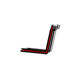 [O-2].[O-2].[O-2].[O-2].[O-2].[O-2].[O-2].[O-2].[O-2].[O-2].[O-2].[O-2].[O-2].[O-2].[O-2].[O-2].[O-2].[O-2].[O-2].[O-2].[O-2].[O-2].[O-2].[O-2].[O-2].[O-2].[O-2].[O-2].[O-2].[O-2].[O-2].[O-2].[O-2].[O-2].[O-2].[O-2].[O-2].[O-2].[O-2].[O-2].[O-2].[O-2].[O-2].[O-2].[O-2].[O-2].[O-2].[O-2].[O-2].[O-2].[O-2].[O-2].[O-2].[O-2].[O-2].[O-2].[O-2].[O-2].[O-2].[O-2].[Zn+2].[Zn+2].[Zn+2].[Zn+2].[Zn+2].[Zn+2].[Zn+2].[Zn+2].[Zn+2].[Zn+2]